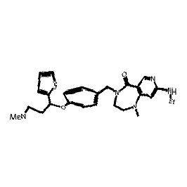 CCNc1cc2c(cn1)C(=O)N(Cc1ccc(OC(CCNC)c3cccs3)cc1)CCN2C